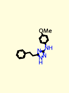 COc1ccc(Nc2n[nH]c(CCc3ccccc3)n2)cc1